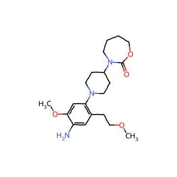 COCCc1cc(N)c(OC)cc1N1CCC(N2CCCCOC2=O)CC1